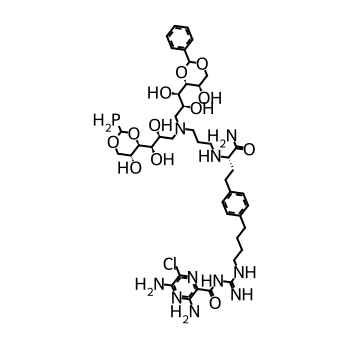 N=C(NCCCCc1ccc(CC[C@H](NCCCN(C[C@H](O)[C@@H](O)[C@@H]2OC(P)OC[C@H]2O)C[C@H](O)[C@@H](O)[C@@H]2OC(c3ccccc3)OC[C@H]2O)C(N)=O)cc1)NC(=O)c1nc(Cl)c(N)nc1N